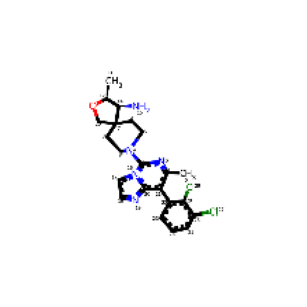 Cc1nc(N2CCC3(CC2)CO[C@@H](C)[C@H]3N)n2ccnc2c1-c1cccc(Cl)c1Cl